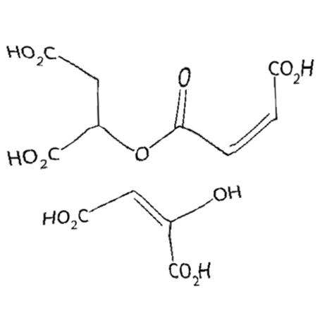 O=C(O)/C=C(/O)C(=O)O.O=C(O)/C=C\C(=O)OC(CC(=O)O)C(=O)O